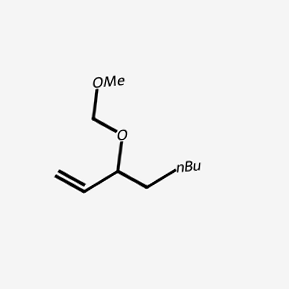 C=CC(CCCCC)OCOC